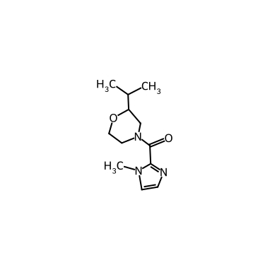 CC(C)C1CN(C(=O)c2nccn2C)CCO1